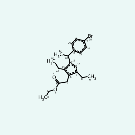 CCOC(=O)Cc1c(CC)nn(C(C)c2ccc(Br)cc2)c1CC